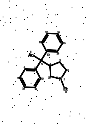 CCN1CCC(C(C(C)=O)(c2ccccc2)c2ccccc2)C1